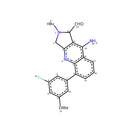 CCCCN1Cc2nc3c(-c4cc(F)cc(OC)c4)cccc3c(N)c2C1C=O